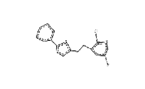 Clc1ccc(Br)cc1CCc1ccc(-c2ccccc2)s1